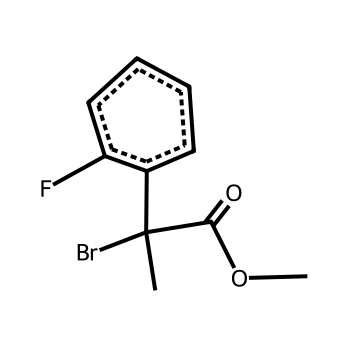 COC(=O)C(C)(Br)c1ccccc1F